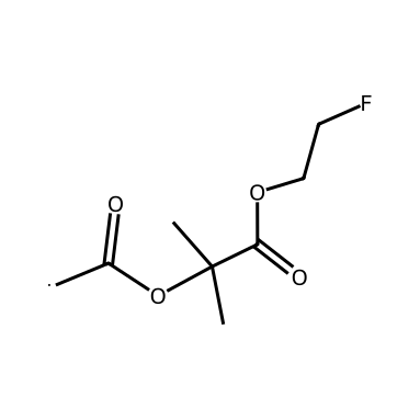 [CH2]C(=O)OC(C)(C)C(=O)OCCF